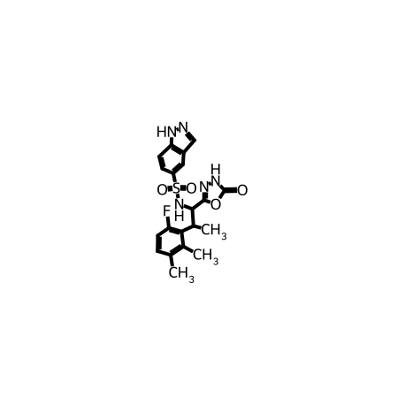 Cc1ccc(F)c(C(C)C(NS(=O)(=O)c2ccc3[nH]ncc3c2)c2n[nH]c(=O)o2)c1C